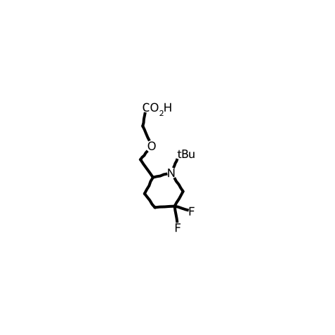 CC(C)(C)N1CC(F)(F)CCC1COCC(=O)O